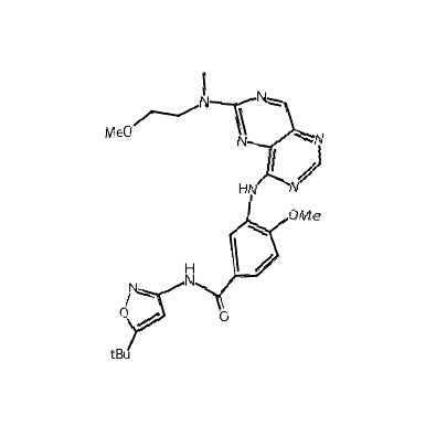 COCCN(C)c1ncc2ncnc(Nc3cc(C(=O)Nc4cc(C(C)(C)C)on4)ccc3OC)c2n1